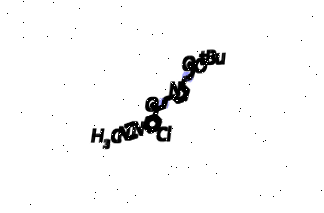 CN1CCN(c2cc(Cl)cc(C(=O)/C=C/c3cccc(/C=C/C(=O)OC(C)(C)C)n3)c2)CC1